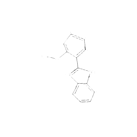 BOc1ccccc1-c1nc2ccccc2[nH]1